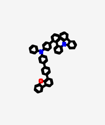 C1=CC2c3ccccc3N(c3ccccc3-c3ccccc3-c3ccc(N(c4ccccc4)c4ccc(-c5ccc(-c6cccc7c6oc6ccccc67)cc5)cc4)cc3)C2C=C1